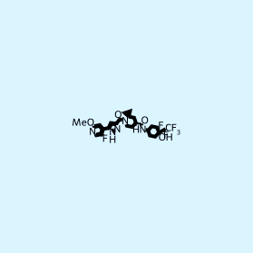 COc1cc(-c2cc(C(=O)N3CC[C@H](C(=O)NC4CCC(O)(C(F)(F)C(F)(F)F)CC4)CC34CC4)n[nH]2)c(F)cn1